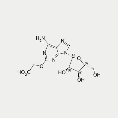 Nc1nc(OCC(=O)O)nc2c1ncn2[C@@H]1O[C@H](CO)[C@@H](O)[C@H]1O